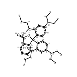 CCCC(O)c1cc(N(CC)CC)ccc1C1(c2ccc(N(CC)CC)cc2C(O)CCC)OC(=O)c2cccnc21